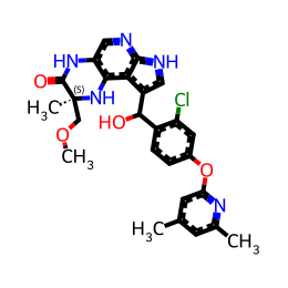 COC[C@]1(C)Nc2c(cnc3[nH]cc(C(O)c4ccc(Oc5cc(C)cc(C)n5)cc4Cl)c23)NC1=O